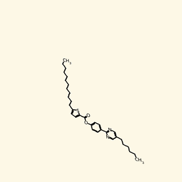 CCCCCCCCCCCCc1ccc(C(=O)Oc2ccc(-c3ncc(CCCCCC)cn3)cc2)s1